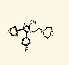 Fc1ccc(-c2c(-c3ccncc3)nc(S)n2CCN2CCOCC2)cc1